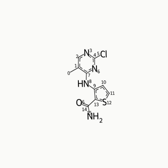 Cc1cnc(Cl)nc1Nc1ccsc1C(N)=O